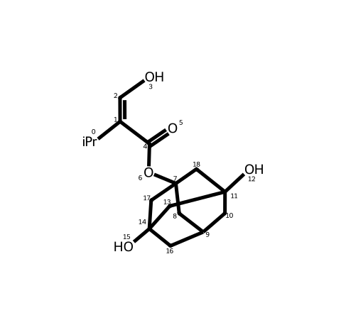 CC(C)/C(=C/O)C(=O)OC12CC3CC(O)(CC(O)(C3)C1)C2